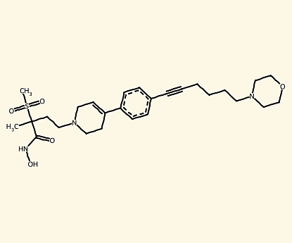 CC(CCN1CC=C(c2ccc(C#CCCCCN3CCOCC3)cc2)CC1)(C(=O)NO)S(C)(=O)=O